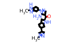 Cc1nc2cc(-n3ncc(C(=O)c4cc5ccc(-c6cnn(C)c6)cc5[nH]4)c3N)ccc2[nH]1